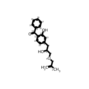 C=C(C)COCC(O)Cc1ccc(C(=O)c2ccccc2)c(O)c1